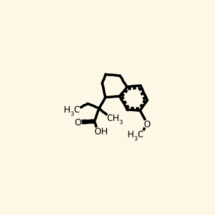 CCC(C)(C(=O)O)C1CCCc2ccc(OC)cc21